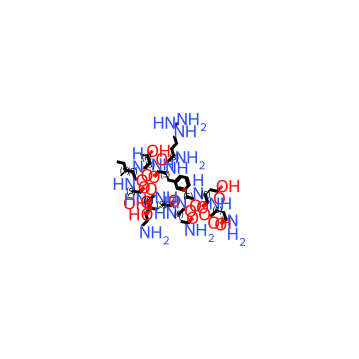 CC[C@H](C)[C@H](NC(=O)[C@@H](NC(=O)[C@H](Cc1ccccc1)NC(=O)[C@@H](N)CCCNC(=N)N)[C@@H](C)O)C(=O)N[C@@H](CO)C(=O)N[C@@H](CCCCN)C(=O)N[C@@H](CC(=O)O)C(=O)N[C@@H](CC(N)=O)C(=O)N[C@@H](C)C(=O)N[C@@H](CC(=O)O)C(=O)N[C@@H](CC(N)=O)C(=O)O